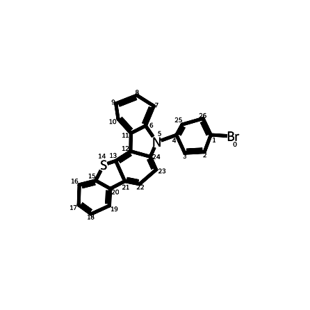 Brc1ccc(-n2c3ccccc3c3c4sc5ccccc5c4ccc32)cc1